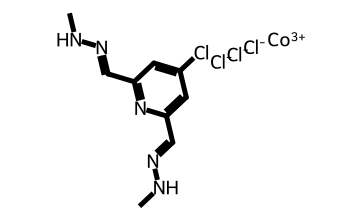 CNN=Cc1cc(Cl)cc(C=NNC)n1.[Cl-].[Cl-].[Cl-].[Co+3]